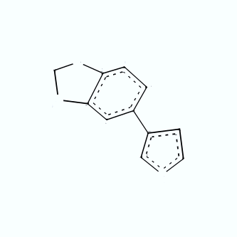 c1cc(-c2ccc3c(c2)OCO3)cs1